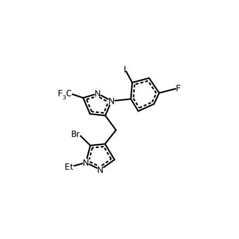 CCn1ncc(Cc2cc(C(F)(F)F)nn2-c2ccc(F)cc2I)c1Br